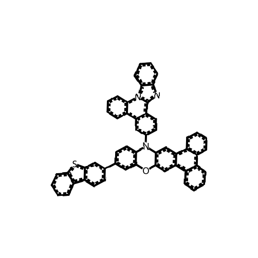 c1ccc2c(c1)nc1c3ccc(N4c5ccc(-c6ccc7c(c6)sc6ccccc67)cc5Oc5cc6c7ccccc7c7ccccc7c6cc54)cc3c3ccccc3n21